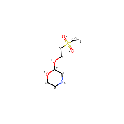 CS(=O)(=O)CCOC1C[N]CCO1